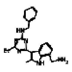 CCc1nc(NCc2ccccc2)nc(-c2c(C)[nH]c3c(CN)cccc23)n1